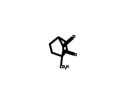 O=C1C(=O)C2(C(=O)O)CCC1CC2